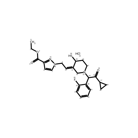 CCOC(=O)c1ccn(C/C=C2/CN(C(C(=O)C3CC3)c3ccccc3F)CCC2S)n1.Cl